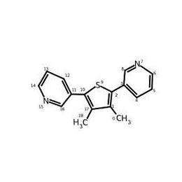 Cc1c(-c2cccnc2)sc(-c2cccnc2)c1C